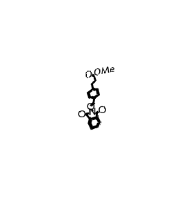 COC(=O)CCc1ccc(CON2C(=O)c3ccccc3C2=O)cc1